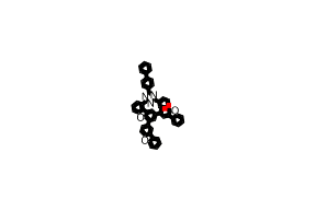 c1ccc(-c2ccc(-c3nc(-c4ccccc4)nc(-c4cccc5oc6c(-c7ccc8oc9ccccc9c8c7)cc(-c7ccc8oc9ccccc9c8c7)cc6c45)n3)cc2)cc1